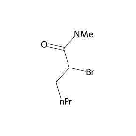 CCCCC(Br)C(=O)NC